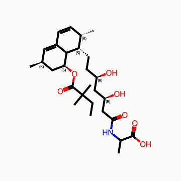 CCC(C)(C)C(=O)O[C@H]1C[C@@H](C)C=C2C=C[C@H](C)[C@H](CC[C@@H](O)C[C@@H](O)CC(=O)NC(C)C(=O)O)C21